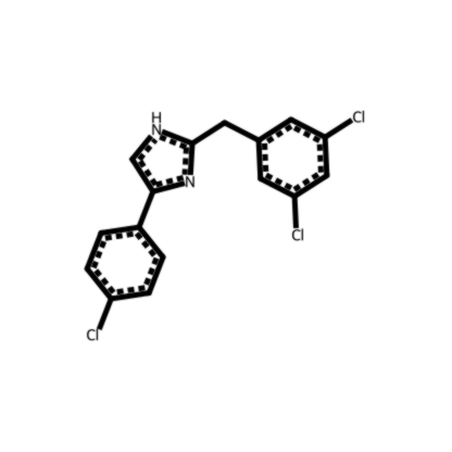 Clc1ccc(-c2c[nH]c(Cc3cc(Cl)cc(Cl)c3)n2)cc1